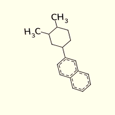 CC1CCC(c2ccc3ccccc3c2)CC1C